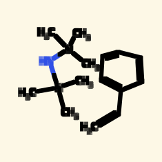 C=Cc1ccccc1.C[Si](C)(C)N[Si](C)(C)C